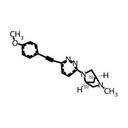 COc1ccc(C#Cc2ccc(N3C[C@@H]4C[C@H]3CN4C)nn2)cc1